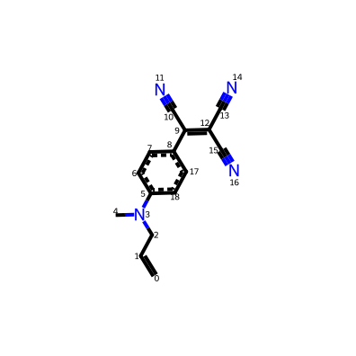 C=CCN(C)c1ccc(C(C#N)=C(C#N)C#N)cc1